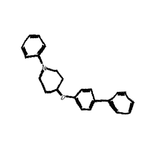 c1ccc(-c2ccc(OC3CCN(c4ccccc4)CC3)cc2)cc1